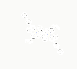 Cc1ccc(N(c2ccc(-c3ccc(-c4ccccc4)cc3)c3ccccc23)c2cc3c4ccccc4c(N(c4ccc(C)cc4C)c4ccc(-c5ccc(-c6ccccc6)cc5)c5ccccc45)cc3c3ccccc23)c(C)c1